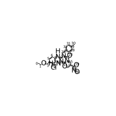 CCOCc1ccc(NC2N(N)C(=O)N(C[C@H](C)C(=O)N=O)C(=O)N2Cc2ccc(C)cc2)cc1Cl